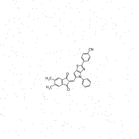 Cc1cc2c(cc1C)C(=O)C(=Cc1cc3sc(-c4ccc(C#N)cc4)nc3n1-c1ccccc1)C2=O